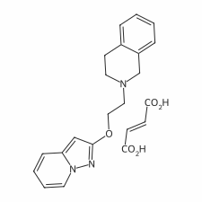 O=C(O)C=CC(=O)O.c1ccc2c(c1)CCN(CCOc1cc3ccccn3n1)C2